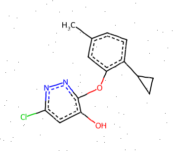 Cc1ccc(C2CC2)c(Oc2nnc(Cl)cc2O)c1